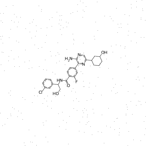 Nc1ncc(C2CCCC(O)C2)nc1-c1ccc(C(=O)NC(CO)c2cccc(Cl)c2)c(F)c1